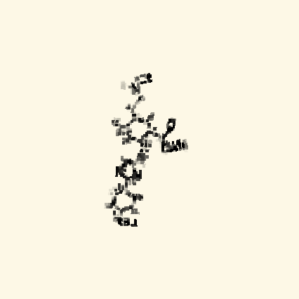 CCN(C)CCc1cc(C(=O)OC)c(Oc2nc(-c3ccc(C(C)(C)C)cc3)ns2)cc1C